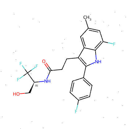 Cc1cc(F)c2[nH]c(-c3ccc(F)cc3)c(CCC(=O)N[C@@H](CO)C(F)(F)F)c2c1